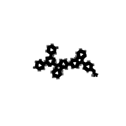 CC(C)Cc1ccc(-n2c3ccccc3c3cc(-c4ccc5c(c4)c4ccccc4n5-c4nc(-c5ccccc5)nc(-c5ccccc5)n4)ccc32)cc1